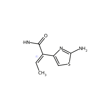 C/C=C(/C([NH])=O)c1csc(N)n1